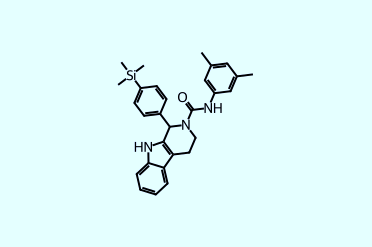 Cc1cc(C)cc(NC(=O)N2CCc3c([nH]c4ccccc34)C2c2ccc([Si](C)(C)C)cc2)c1